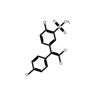 CS(=O)(=O)c1cc(C(=C(Cl)Cl)c2ccc(Cl)cc2)ccc1Cl